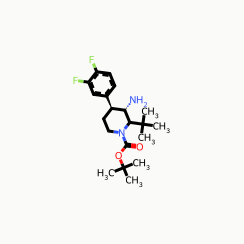 CC(C)(C)OC(=O)N1CC[C@@H](c2ccc(F)c(F)c2)[C@H](N)C1C(C)(C)C